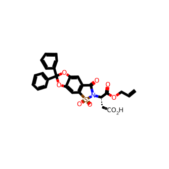 C=CCOC(=O)[C@H](CC(=O)O)N1C(=O)c2cc3c(cc2S1(=O)=O)OC(c1ccccc1)(c1ccccc1)O3